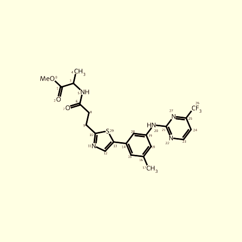 COC(=O)C(C)NC(=O)CCc1ncc(-c2cc(C)cc(Nc3nccc(C(F)(F)F)n3)c2)s1